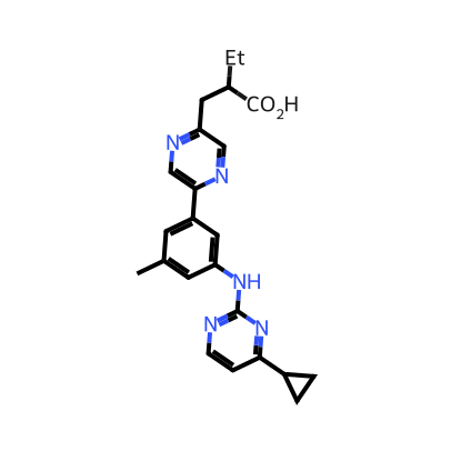 CCC(Cc1cnc(-c2cc(C)cc(Nc3nccc(C4CC4)n3)c2)cn1)C(=O)O